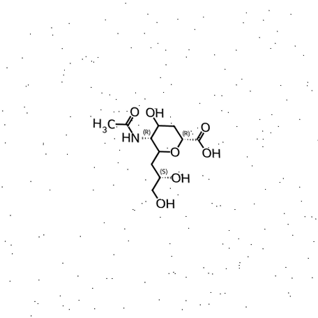 CC(=O)N[C@@H]1C(O)C[C@H](C(=O)O)OC1C[C@H](O)CO